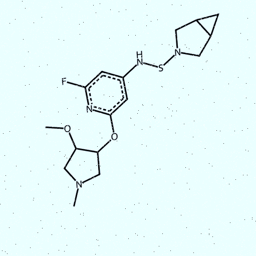 COC1CN(C)CC1Oc1cc(NSN2CC3CC3C2)cc(F)n1